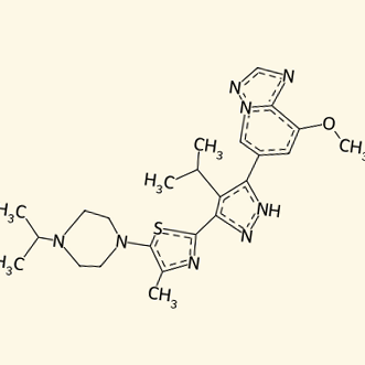 COc1cc(-c2[nH]nc(-c3nc(C)c(N4CCN(C(C)C)CC4)s3)c2C(C)C)cn2ncnc12